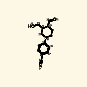 N#Cc1ccc(N2CCN(C=O)C(CO)C2)nc1